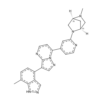 Cc1ccc(-c2cnn3c(-c4ccnc(N5C[C@@H]6C[C@H]5CN6C)c4)ccnc23)c2cn[nH]c12